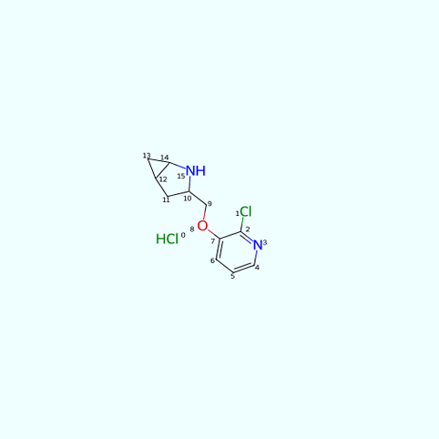 Cl.Clc1ncccc1OCC1CC2CC2N1